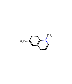 Cc1ccc2c(c1)CC=CN2C